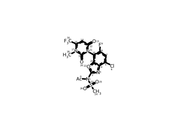 CC(=O)N(c1nc2c(Cl)cc(F)c(-n3c(=O)cc(C(F)(F)F)n(C)c3=O)c2o1)S(C)(=O)=O